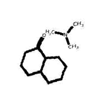 CN(C)C.O=C1CCCC2CCCCC12